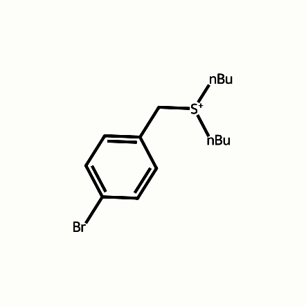 CCCC[S+](CCCC)Cc1ccc(Br)cc1